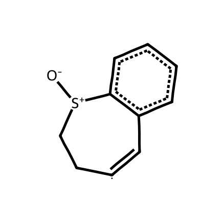 [O-][S+]1CC[C]=Cc2ccccc21